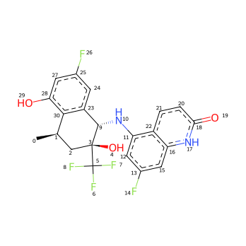 C[C@@H]1C[C@@](O)(C(F)(F)F)[C@@H](Nc2cc(F)cc3[nH]c(=O)ccc23)c2cc(F)cc(O)c21